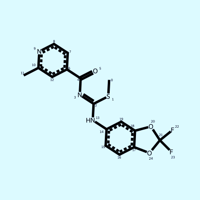 CSC(=NC(=O)c1ccnc(C)c1)Nc1ccc2c(c1)OC(F)(F)O2